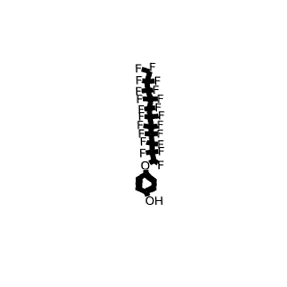 Oc1ccc(OC(F)C(F)(F)C(F)(F)C(F)(F)C(F)(F)C(F)(F)C(F)(F)C(F)(F)C(F)(F)C(F)(F)C(F)F)cc1